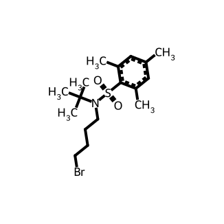 Cc1cc(C)c(S(=O)(=O)N(CCCCBr)C(C)(C)C)c(C)c1